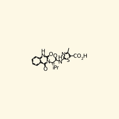 Cc1nc(NC(=O)[C@H](C(C)C)n2c(=O)[nH]c3ccccc3c2=O)sc1C(=O)O